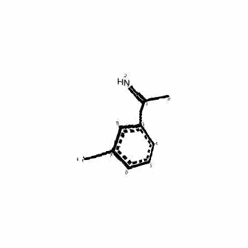 CC(=N)c1cccc(I)c1